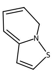 C1=CCN2SC=CC2=C1